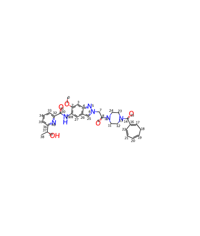 COc1cc2nn(CC(=O)N3CCN(C(=O)C4=CCC=CC=C4)CC3)cc2cc1NC(=O)c1cccc(C(C)O)n1